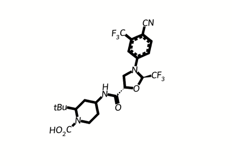 CC(C)(C)C1CC(NC(=O)[C@@H]2CN(c3ccc(C#N)c(C(F)(F)F)c3)[C@@H](C(F)(F)F)O2)CCN1C(=O)O